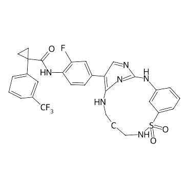 O=C(Nc1ccc(-c2cnc3nc2NCCCNS(=O)(=O)c2cccc(c2)N3)cc1F)C1(c2cccc(C(F)(F)F)c2)CC1